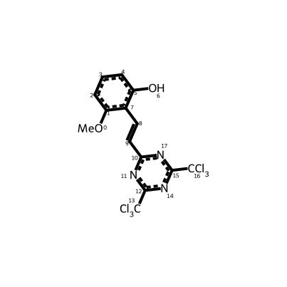 COc1cccc(O)c1C=Cc1nc(C(Cl)(Cl)Cl)nc(C(Cl)(Cl)Cl)n1